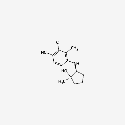 Cc1c(N[C@H]2CCC[C@@]2(C)O)ccc(C#N)c1Cl